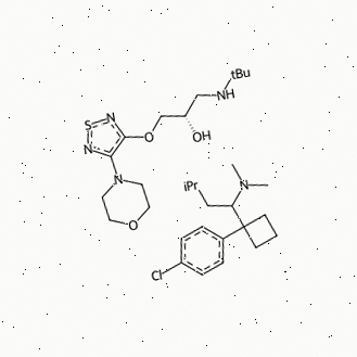 CC(C)(C)NC[C@H](O)COc1nsnc1N1CCOCC1.CC(C)CC(N(C)C)C1(c2ccc(Cl)cc2)CCC1